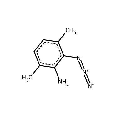 Cc1ccc(C)c(N=[N+]=[N-])c1N